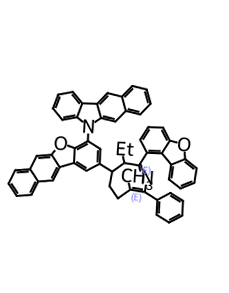 CCC1/C(c2cccc3oc4ccccc4c23)=N\C(c2ccccc2)=C(/C)CCC1c1cc(-n2c3ccccc3c3cc4ccccc4cc32)c2oc3cc4ccccc4cc3c2c1